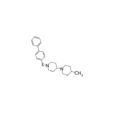 CC1CCN(C2CCN(Sc3ccc(-c4ccccc4)cc3)CC2)CC1